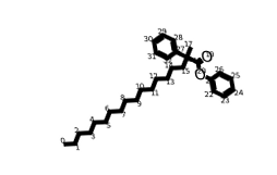 CCCCCCCCCCCCCCCCC(C)(C(=O)Oc1ccccc1)c1ccccc1